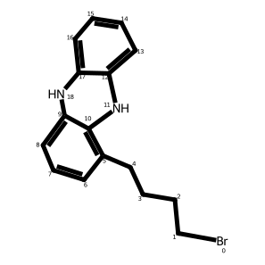 BrCCCCc1cccc2c1Nc1ccccc1N2